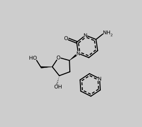 Nc1ccn([C@H]2C[C@H](O)[C@@H](CO)O2)c(=O)n1.c1ccncc1